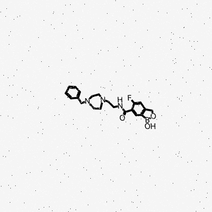 O=C(NCCN1CCN(Cc2ccccc2)CC1)c1cc2c(cc1F)COB2O